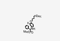 CCCCCCCCCCCCCCOc1ccc(NC(C(=O)OC)c2ccccc2)cc1F